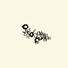 CC(=O)N(C(=S)Nc1ccc(Oc2ccnc3c2[SH](C(N)=O)C(S(=O)(=O)O)=C3)c(F)c1)c1ccccc1